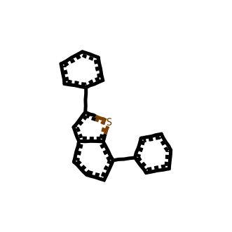 c1ccc(-c2cc3cccc(-c4ccccc4)c3s2)cc1